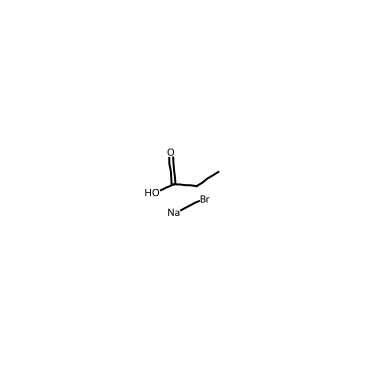 CCC(=O)O.[Na][Br]